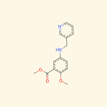 COC(=O)c1cc(NCc2cccnc2)ccc1OC